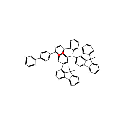 CC1(C)c2ccccc2-c2cccc(-c3cccc(N(c4ccc5c(c4)C(C)(c4ccccc4)c4ccccc4-5)c4ccccc4-c4ccc(-c5ccc(-c6ccccc6)cc5)cc4)c3)c21